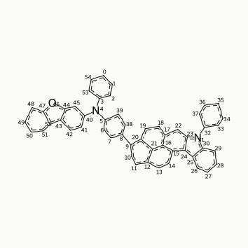 c1ccc(N(c2ccc(-c3ccc4ccc5c6c(ccc3c46)cc3c5c4ccccc4n3-c3ccccc3)cc2)c2ccc3c(c2)oc2ccccc23)cc1